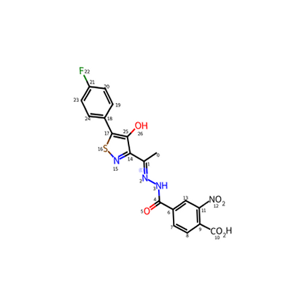 C/C(=N\NC(=O)c1ccc(C(=O)O)c([N+](=O)[O-])c1)c1nsc(-c2ccc(F)cc2)c1O